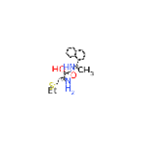 CCSCC[C@H](N)[C@H](O)C(=O)N[C@@H](C)c1cccc2ccccc12